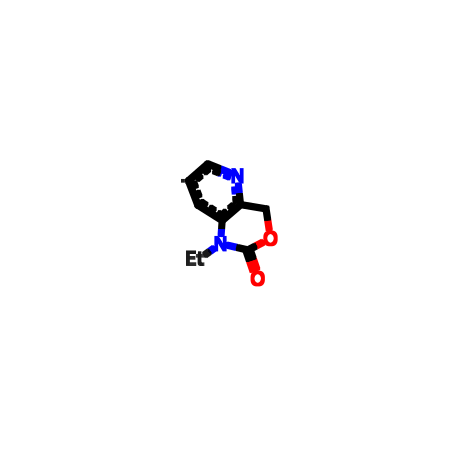 CCN1C(=O)OCc2nc[c]cc21